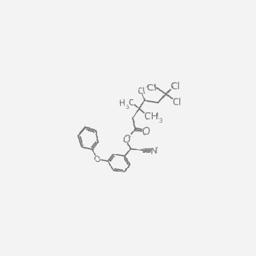 CC(C)(CC(=O)OC(C#N)c1cccc(Oc2ccccc2)c1)C(Cl)CC(Cl)(Cl)Cl